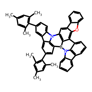 Cc1cc(C)c(-c2ccc3c(c2)c2cc(-c4c(C)cc(C)cc4C)cc4c2n3-c2cc3c(oc5ccccc53)c3c2B4n2c4ccccc4c4cccc-3c42)c(C)c1